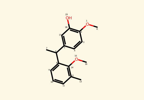 COc1ccc(C(C)c2cccc(C)c2OC)cc1O